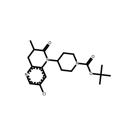 CC1Cc2ncc(Cl)cc2N(C2CCN(C(=O)OC(C)(C)C)CC2)C1=O